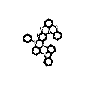 c1ccc(N2c3cccc4c3B(c3cc5c(nc32)Oc2cccc3c2B5c2ccccc2O3)c2cccc3c5ccccc5n-4c23)cc1